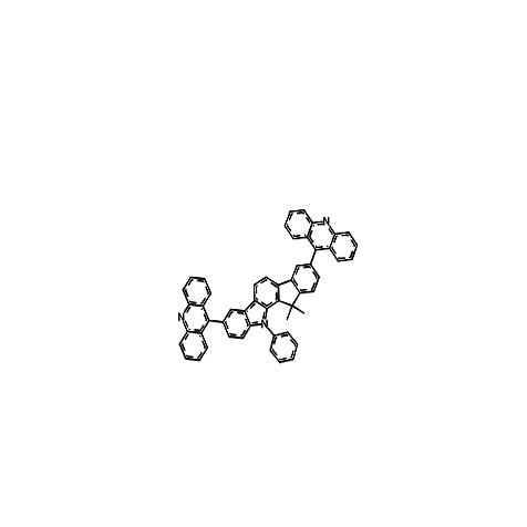 CC1(C)c2ccc(-c3c4ccccc4nc4ccccc34)cc2-c2ccc3c4cc(-c5c6ccccc6nc6ccccc56)ccc4n(-c4ccccc4)c3c21